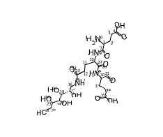 NC(CCC(=O)O)C(=O)NC(CCC(=O)NCC(O)C(O)C(O)C(O)CO)C(=O)NC(C=O)CCC(=O)O